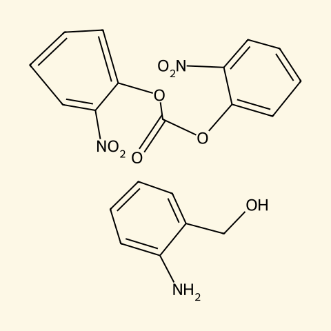 Nc1ccccc1CO.O=C(Oc1ccccc1[N+](=O)[O-])Oc1ccccc1[N+](=O)[O-]